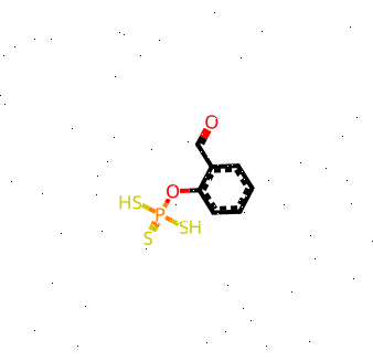 O=Cc1ccccc1OP(=S)(S)S